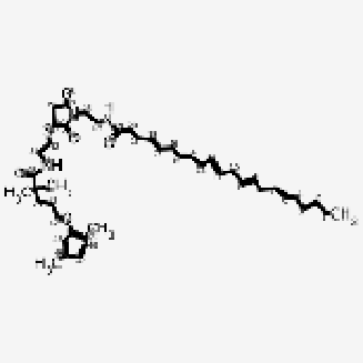 CCC=CCC=CCC=CCC=CCC=CCC=CCCC(=O)NCCN1C(=O)CC(SCCNC(=O)C(C)(C)CCCOc2cc(C)ccc2C)C1=O